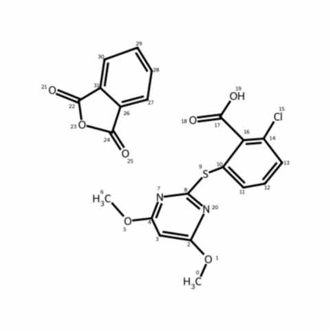 COc1cc(OC)nc(Sc2cccc(Cl)c2C(=O)O)n1.O=C1OC(=O)c2ccccc21